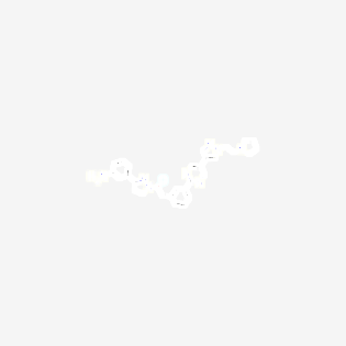 Nc1cccc(C2=NN(C(=O)Cc3cccc(-c4ncc(-c5cnn(CCN6CCCC6)c5)cn4)c3)CC2)c1